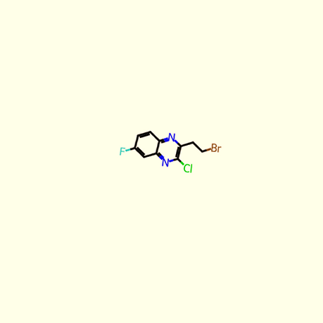 Fc1ccc2nc(CCBr)c(Cl)nc2c1